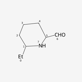 CCC1CCCC(C=O)N1